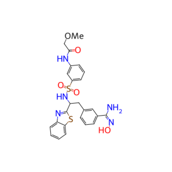 COCC(=O)Nc1cccc(S(=O)(=O)NC(Cc2cccc(/C(N)=N\O)c2)c2nc3ccccc3s2)c1